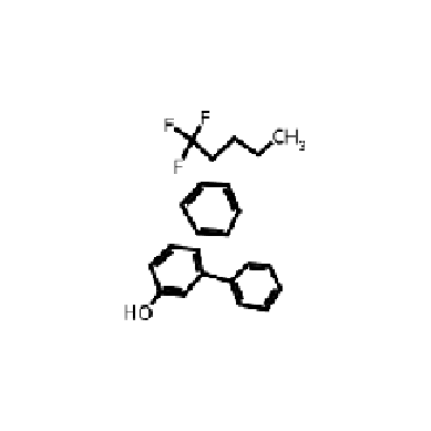 CCCCC(F)(F)F.Oc1cccc(-c2ccccc2)c1.c1ccccc1